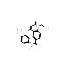 CCn1c(=O)cc(C)c2cc(C(=O)N(C)c3ccc(C)cc3)ccc21